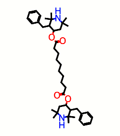 CC1(C)CC(OC(=O)CCCCCCCCC(=O)OC2CC(C)(C)NC(C)(C)C2Cc2ccccc2)C(Cc2ccccc2)C(C)(C)N1